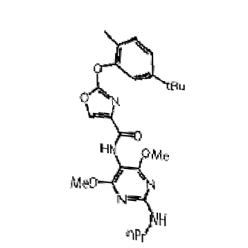 CCCNc1nc(OC)c(NC(=O)c2coc(Oc3cc(C(C)(C)C)ccc3C)n2)c(OC)n1